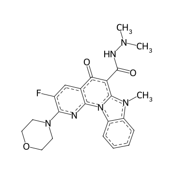 CN(C)NC(=O)c1c(=O)c2cc(F)c(N3CCOCC3)nc2n2c3ccccc3n(C)c12